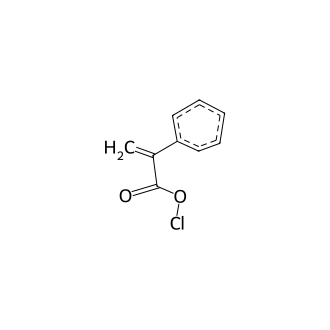 C=C(C(=O)OCl)c1ccccc1